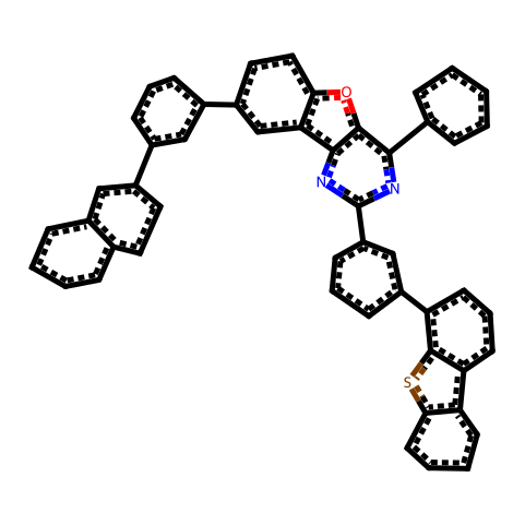 c1ccc(-c2nc(-c3cccc(-c4cccc5c4sc4ccccc45)c3)nc3c2oc2ccc(-c4cccc(-c5ccc6ccccc6c5)c4)cc23)cc1